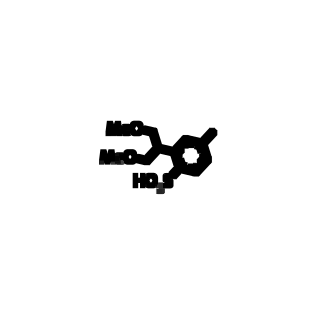 COCC(COC)c1cc(C)ccc1S(=O)(=O)O